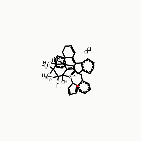 CC12C(=C3Cc4ccccc4C3=C3C=CCCC31)[C](C)([Zr+2](=[C](Cc1ccccc1)Cc1ccccc1)[CH]1C=CC=C1)C(C)(C)C(C)(C)C2(C)C.[Cl-].[Cl-]